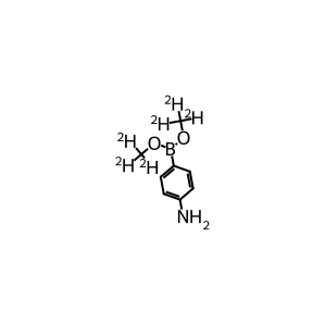 [2H]C([2H])([2H])OB(OC([2H])([2H])[2H])c1ccc(N)cc1